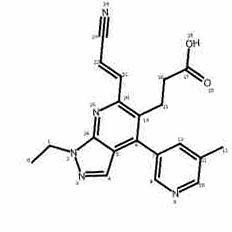 CCn1ncc2c(-c3cncc(C)c3)c(CCC(=O)O)c(C=CC#N)nc21